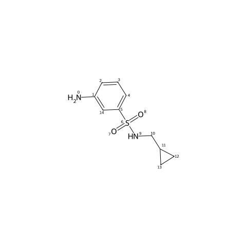 Nc1cccc(S(=O)(=O)NCC2CC2)c1